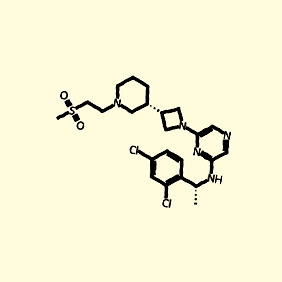 C[C@@H](Nc1cncc(N2CC([C@H]3CCCN(CCS(C)(=O)=O)C3)C2)n1)c1ccc(Cl)cc1Cl